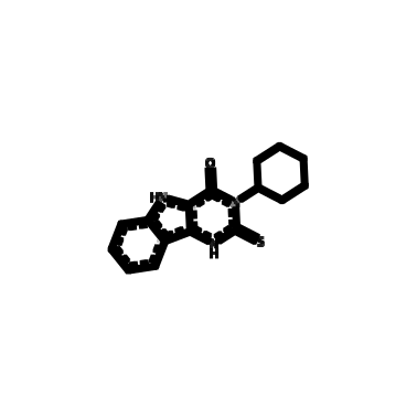 O=c1c2[nH]c3ccccc3c2[nH]c(=S)n1C1CCCCC1